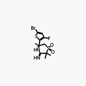 CC1(C)C(=N)N[C@](C)(c2sc(Br)cc2F)CS1(=O)=O